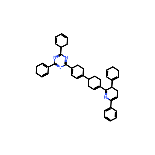 C1=CCC(c2nc(C3=CCCC=C3)nc(C3=CC=C(C4CC=C(C5=NC(c6ccccc6)=CCC5C5=CCCC=C5)CC4)CC3)n2)C=C1